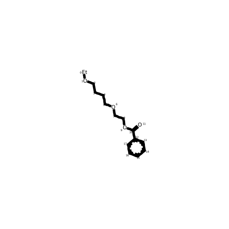 CCOCCCCOCCOC(=O)c1ccccc1